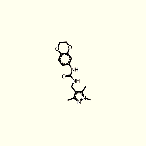 Cc1nn(C)c(C)c1CNC(=O)Nc1ccc2c(c1)OCCO2